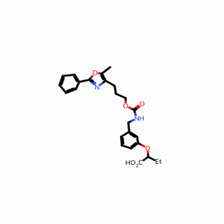 CCC(Oc1cccc(CNC(=O)OCCCc2nc(-c3ccccc3)oc2C)c1)C(=O)O